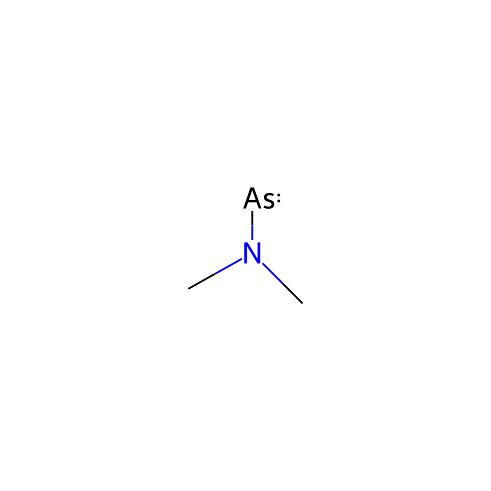 CN(C)[As]